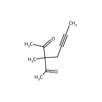 CC#CCC(C)(C(C)=O)C(C)=O